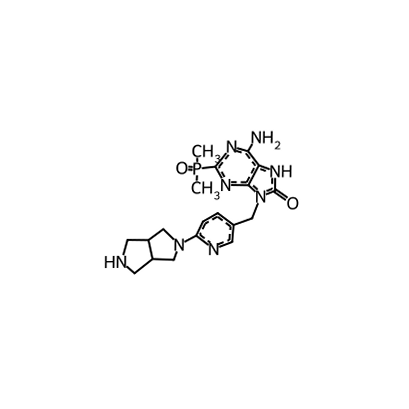 CP(C)(=O)c1nc(N)c2[nH]c(=O)n(Cc3ccc(N4CC5CNCC5C4)nc3)c2n1